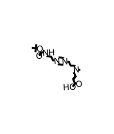 CN(C/C=C/C(=O)O)CCCN1CCN(CCCNC(=O)OC(C)(C)C)CC1